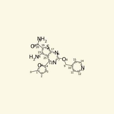 Cc1ccc(-c2nc(OCc3ccncc3)nc3sc(C(N)=O)c(N)c23)o1